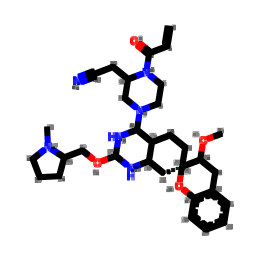 C=CC(=O)N1CCN(C2NC(OCC3CCCN3C)NC3C[C@@]4(CCC32)Oc2ccccc2CC4OC)CC1CC#N